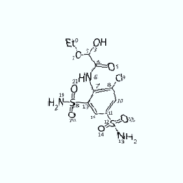 CCOC(O)C(=O)Nc1c(Cl)cc(S(N)(=O)=O)cc1S(N)(=O)=O